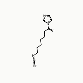 [N-]=[N+]=NCCCCCCC(=O)n1ccnc1